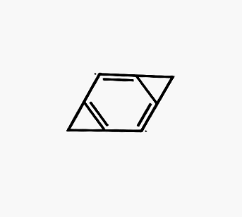 [c]1c2c([c]c3c1C3)C2